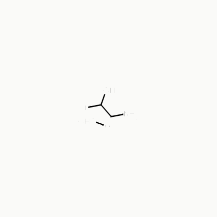 CCC(O)CN.O=CO